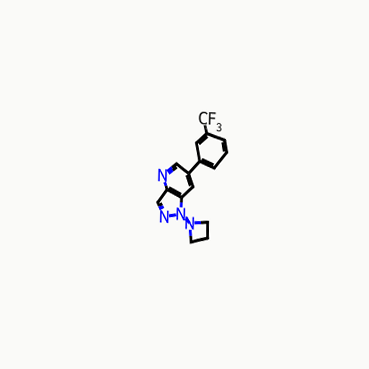 FC(F)(F)c1cccc(-c2cnc3cnn(N4CCC4)c3c2)c1